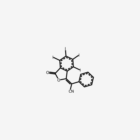 N#C/C(=C1\OC(=O)c2c(I)c(I)c(I)c(I)c21)c1ccccc1